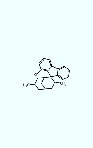 CC1CC2CC(C)C3(c4ccccc4-c4cccc(Cl)c43)C(C1)C2